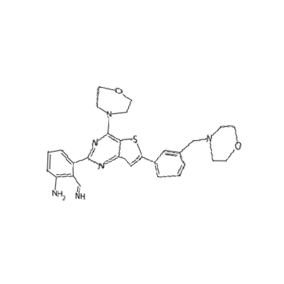 N=Cc1c(N)cccc1-c1nc(N2CCOCC2)c2sc(-c3cccc(CN4CCOCC4)c3)cc2n1